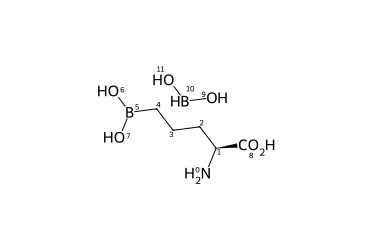 N[C@@H](CCCB(O)O)C(=O)O.OBO